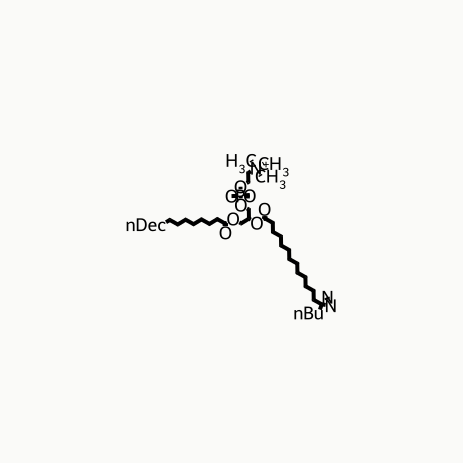 CCCCCCCCCCCCCCCCCC(=O)OCC(COP(=O)([O-])OCC[N+](C)(C)C)OC(=O)CCCCCCCCCCCCC1(CCCC)N=N1